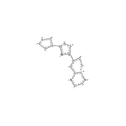 c1cnc2cc(-c3nc(-c4ccsc4)cs3)ccc2n1